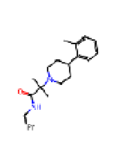 Cc1ccccc1C1CCN(C(C)(C)C(=O)NCC(C)C)CC1